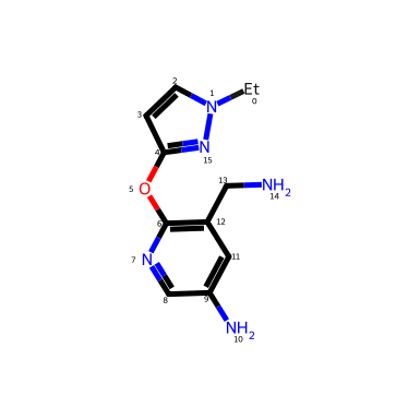 CCn1ccc(Oc2ncc(N)cc2CN)n1